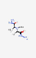 CCCCN(C(C)C(=O)NN)C(C)C(=O)NN